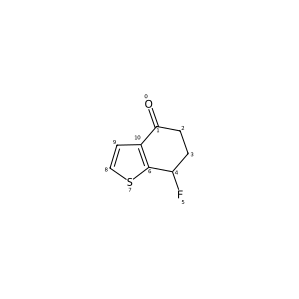 O=C1CCC(F)c2sccc21